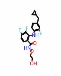 O=C(NOCCO)c1ccc(F)c(F)c1Nc1ccc(CC2CC2)cc1F